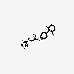 Cc1cccc(C)c1-c1ccc(NC(=O)CSc2nnc[nH]2)cc1